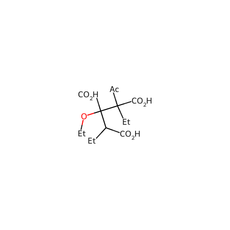 CCOC(C(=O)O)(C(CC)C(=O)O)C(CC)(C(C)=O)C(=O)O